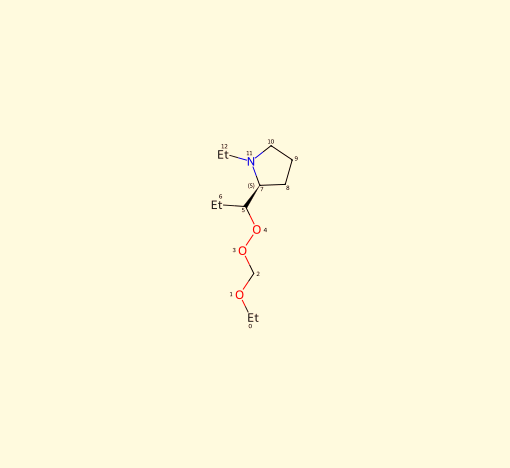 CCOCOOC(CC)[C@@H]1CCCN1CC